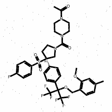 COc1cc(C)ccc1COC(c1ccc([C@]2(S(=O)(=O)c3ccc(F)cc3)CCN(C(=O)N3CCN(C(C)=O)CC3)C2)cc1)(C(F)(F)F)C(F)(F)F